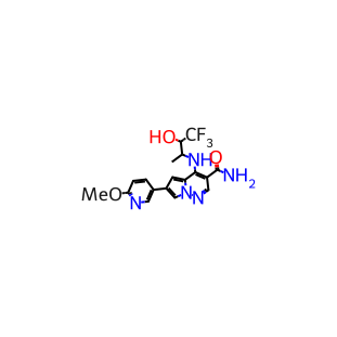 COc1ccc(-c2cc3c(NC(C)C(O)C(F)(F)F)c(C(N)=O)cnn3c2)cn1